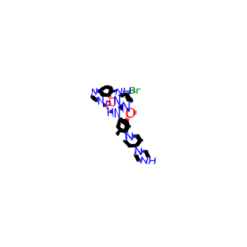 COc1cc(N2CCC(N3CCNCC3)CC2)c(C)cc1Nc1ncc(Br)c(Nc2ccc3nccnc3c2OP(C)C)n1